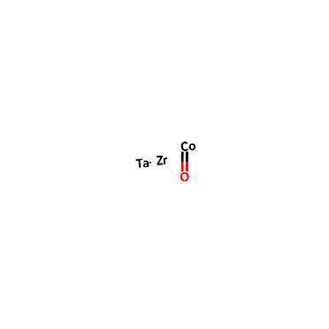 [O]=[Co].[Ta].[Zr]